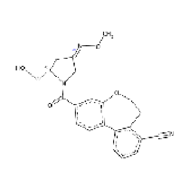 CO/N=C1/C[C@@H](CO)N(C(=O)c2ccc3c(c2)OCCc2c(C#N)cccc2-3)C1